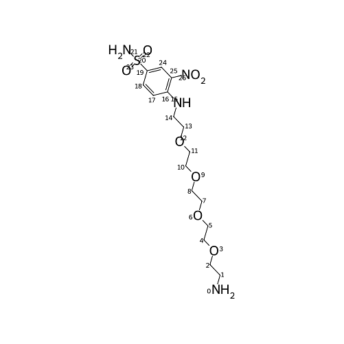 NCCOCCOCCOCCOCCNc1ccc(S(N)(=O)=O)cc1[N+](=O)[O-]